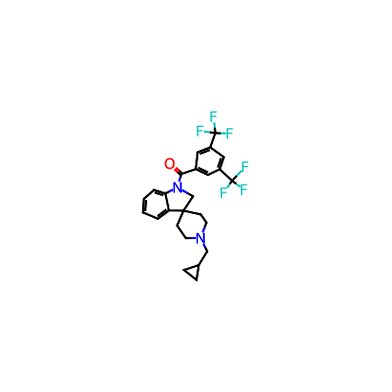 O=C(c1cc(C(F)(F)F)cc(C(F)(F)F)c1)N1CC2(CCN(CC3CC3)CC2)c2ccccc21